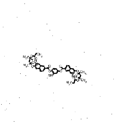 C=CC(=O)OC(C)(C)CC(C)(C)Oc1ccc2cc(C(=O)Oc3ccc(OC(=O)c4ccc5cc(OC(C)(C)CC(C)(C)OC(=O)C=C)ccc5c4)c(CCC)c3)ccc2c1